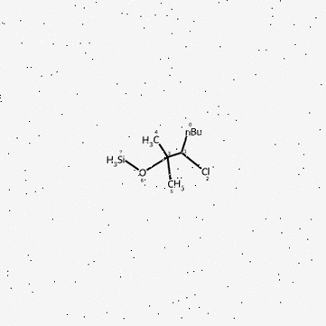 CCCCC(Cl)C(C)(C)O[SiH3]